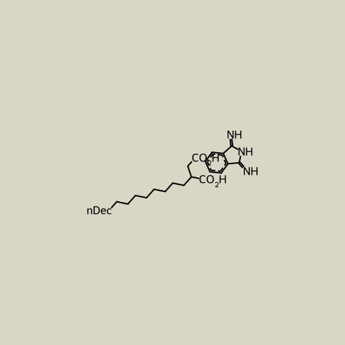 CCCCCCCCCCCCCCCCCCC(CC(=O)O)C(=O)O.N=C1NC(=N)c2ccccc21